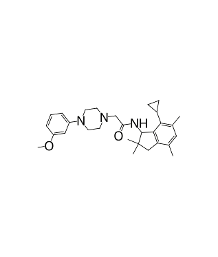 COc1cccc(N2CCN(CC(=O)NC3c4c(c(C)cc(C)c4C4CC4)CC3(C)C)CC2)c1